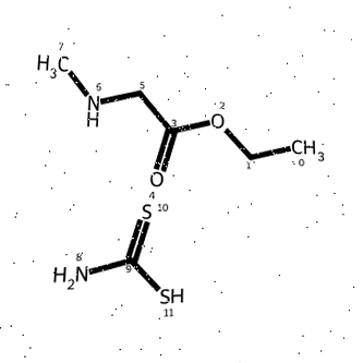 CCOC(=O)CNC.NC(=S)S